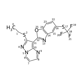 CCSc1nn2cccnc2c1-c1nc2cc(SC(F)(F)F)ccc2o1